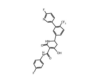 O=C(Nc1ccc(F)cc1)C1=C(O)CC(c2ccc(C(F)(F)F)c(-c3ccc(F)nc3)c2)NC1=O